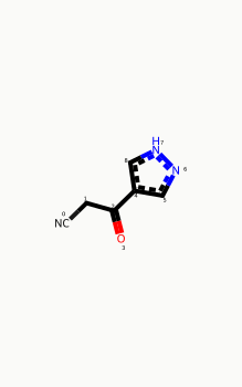 N#CCC(=O)c1cn[nH]c1